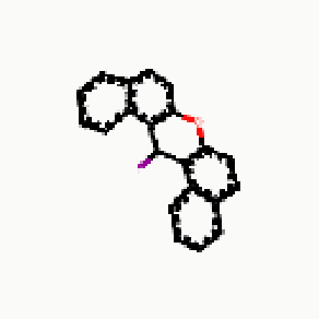 IC1c2c(ccc3ccccc23)Oc2ccc3ccccc3c21